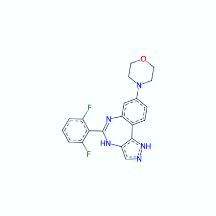 Fc1cccc(F)c1C1=Nc2cc(N3CCOCC3)ccc2-c2[nH]ncc2N1